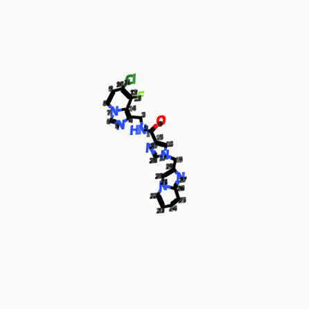 O=C(NCc1ncn2ccc(Cl)c(F)c12)c1cn(Cc2cn3ccccc3n2)cn1